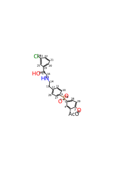 CC(=O)OOc1ccc(S(=O)(=O)c2ccc(CCNC[C@H](O)c3cccc(Cl)c3)cc2)cc1